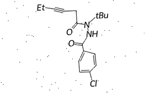 CCC#CCC(=O)N(NC(=O)c1ccc(Cl)cc1)C(C)(C)C